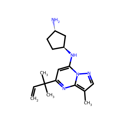 C=CC(C)(C)c1cc(N[C@H]2CC[C@H](N)C2)n2ncc(C)c2n1